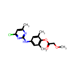 COCC(=O)Oc1c(C)cc(Nc2nc(C)cc(Cl)n2)cc1C